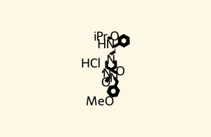 COc1ccc(CN2C(=O)N(C)C3(CCN(CC[C@H](NC(=O)C(C)C)c4ccccc4)CC3)C2=O)cc1.Cl